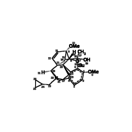 COc1ccc2c3c1O[C@H]1[C@]4(OC)C=C[C@]5(CC4C(C)(O)C(C)(C)C)[C@@H](C2)N(CC2CC2)CC[C@]315